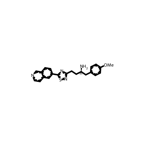 COc1ccc(C[C@H](N)CCc2nsc(-c3ccc4cnccc4c3)n2)cc1